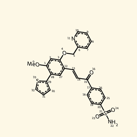 COc1cc(OCc2ccccn2)c(C=CC(=O)c2ccc(S(N)(=O)=O)cc2)cc1-c1cccs1